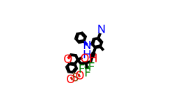 Cc1cc(C#N)cc(Nc2ccccc2)c1C#CCC(O)(CC1(C)CCOc2ccc(S(C)(=O)=O)cc21)C(F)(F)F